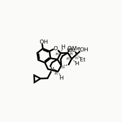 CC[C@](O)([C@H]1C[C@@]23CC[C@]1(OC)[C@@H]1Oc4c(O)ccc5c4C12CCN(CC1CC1)[C@@H]3C5)C(C)(C)C